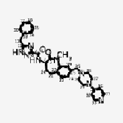 CN1C(=O)[C@H](NC(=O)c2n[nH]c(Cc3ccccc3)n2)CCc2ccc(CN3CCN(c4ccncc4)CC3)cc21